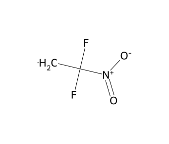 [CH2]C(F)(F)[N+](=O)[O-]